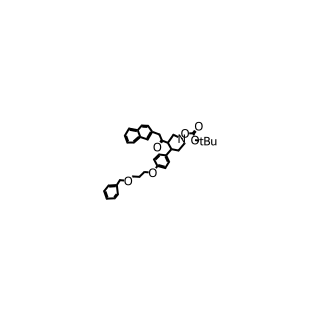 CC(C)(C)OC(=O)ON1CCC(c2ccc(OCCCOCc3ccccc3)cc2)C(C(=O)Cc2ccc3ccccc3c2)C1